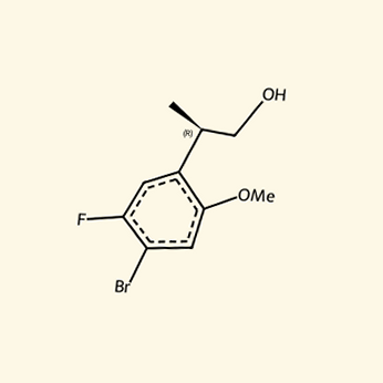 COc1cc(Br)c(F)cc1[C@@H](C)CO